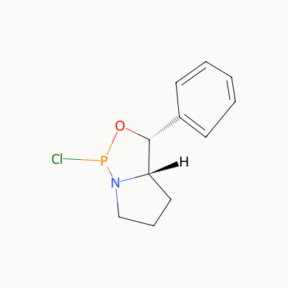 ClP1O[C@H](c2ccccc2)[C@@H]2CCCN21